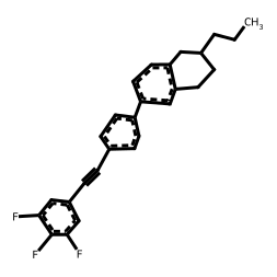 CCCC1CCc2cc(-c3ccc(C#Cc4cc(F)c(F)c(F)c4)cc3)ccc2C1